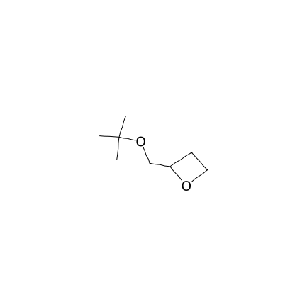 CC(C)(C)OCC1CCO1